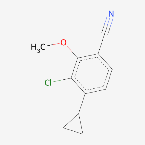 COc1c(C#N)ccc(C2CC2)c1Cl